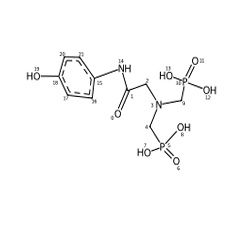 O=C(CN(CP(=O)(O)O)CP(=O)(O)O)Nc1ccc(O)cc1